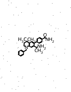 CC(N)c1cc2c(cc1-c1ccc(C(N)=O)cc1)C(C)(C)CCN2Cc1ccccc1